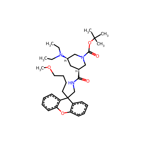 CCN(CC)[C@@H]1C[C@H](C(=O)NCC2(CCCCOC)c3ccccc3Oc3ccccc32)CN(C(=O)OC(C)(C)C)C1